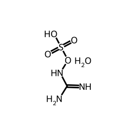 N=C(N)NOS(=O)(=O)O.O